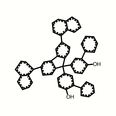 Oc1ccc(C2(c3ccc(O)c(-c4ccccc4)c3)c3ccc(-c4cccc5ccccc45)cc3-c3cc(-c4cccc5ccccc45)ccc32)cc1-c1ccccc1